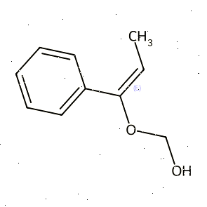 C/C=C(/OCO)c1ccccc1